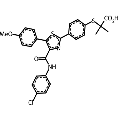 COc1ccc(-c2sc(-c3ccc(SC(C)(C)C(=O)O)cc3)nc2C(=O)Nc2ccc(Cl)cc2)cc1